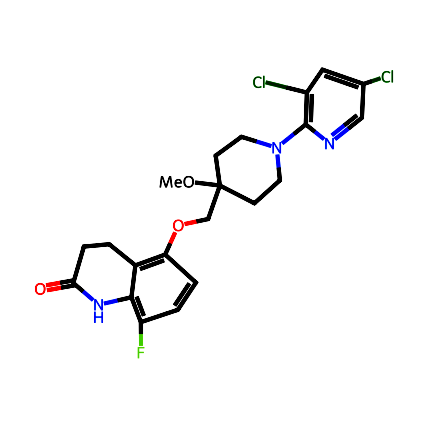 COC1(COc2ccc(F)c3c2CCC(=O)N3)CCN(c2ncc(Cl)cc2Cl)CC1